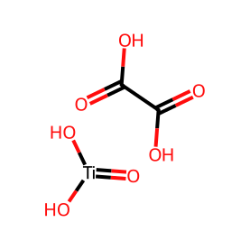 O=C(O)C(=O)O.[O]=[Ti]([OH])[OH]